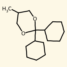 CC1COC(C2CCCCC2)(C2CCCCC2)OC1